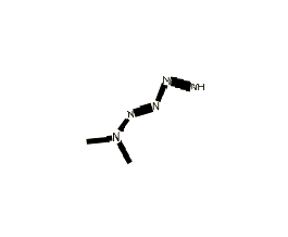 CN(C)N=NN=N